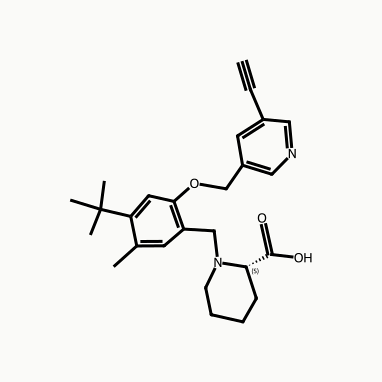 C#Cc1cncc(COc2cc(C(C)(C)C)c(C)cc2CN2CCCC[C@H]2C(=O)O)c1